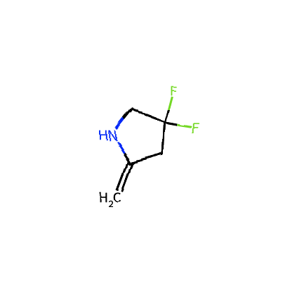 C=C1CC(F)(F)CN1